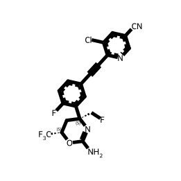 N#Cc1cnc(C#Cc2ccc(F)c([C@]3(CF)C[C@@H](C(F)(F)F)OC(N)=N3)c2)c(Cl)c1